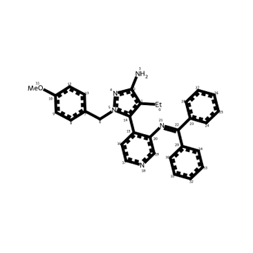 CCc1c(N)nn(Cc2ccc(OC)cc2)c1-c1ccncc1N=C(c1ccccc1)c1ccccc1